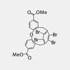 COC(=O)c1ccc2c(c1)Cc1c(Br)c(Br)c(c(Br)c1Br)Cc1cc(C(=O)OC)ccc1O2